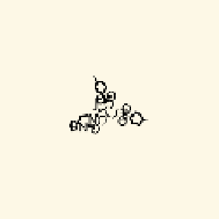 Cc1ccc(S(=O)(=O)OC[C@H]2O[C@@H](n3ccc(=O)[nH]c3=O)[C@](C)(F)[C@@H]2OS(=O)(=O)c2ccc(C)cc2)cc1